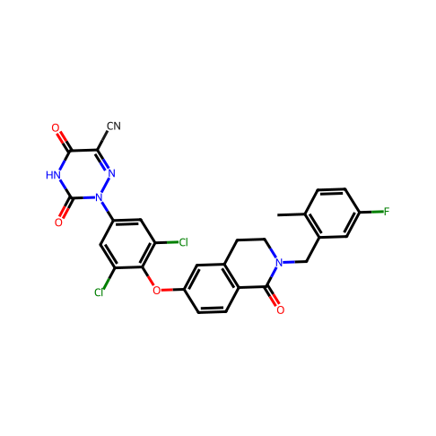 Cc1ccc(F)cc1CN1CCc2cc(Oc3c(Cl)cc(-n4nc(C#N)c(=O)[nH]c4=O)cc3Cl)ccc2C1=O